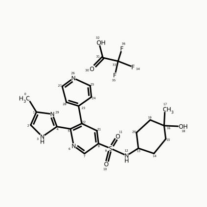 Cc1c[nH]c(-c2ncc(S(=O)(=O)NC3CCC(C)(O)CC3)cc2-c2ccncc2)n1.O=C(O)C(F)(F)F